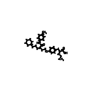 CCOC(Cc1ccc(OCCN(CCCC2CCCCC2)C(=O)Nc2ccc(C)cc2)cc1)C(=O)O